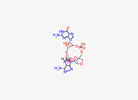 B[P@@]1(=O)OCC2OC(n3cnc4c(=O)[nH]c(N)nc43)C(O[P@](=O)(S)OCC34COC(C(n5cnc6c(N)ncnc65)O3)C4O1)C2O